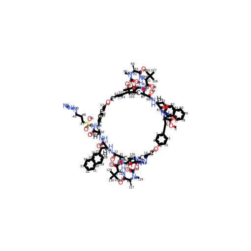 COC(=O)[C@@H]1Cc2ccc(cc2)OCc2cn(nn2)[C@H]2C[C@@H](C(=O)N[C@@H](Cc3ccc4ccccc4c3)C(=O)N[C@H](C(=O)NS(=O)(=O)CCCN=[N+]=[N-])Cc3ccc(cc3)OC/C=C/C[C@H]3C[C@@H](C(=O)N[C@@H](Cc4ccc5ccccc5c4)C(=O)N1)N(C(=O)[C@@H](NC(=O)[C@H](C)N(C)C(=O)OC(C)(C)C)C(C)(C)C)C3)N(C(=O)[C@@H](NC(=O)[C@H](C)N(C)C(=O)OC(C)(C)C)C(C)(C)C)C2